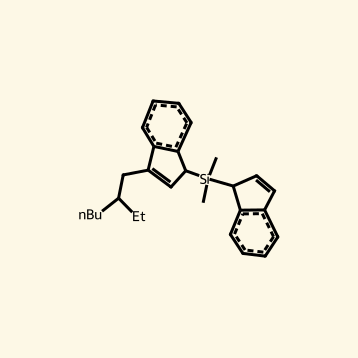 CCCCC(CC)CC1=CC([Si](C)(C)C2C=Cc3ccccc32)c2ccccc21